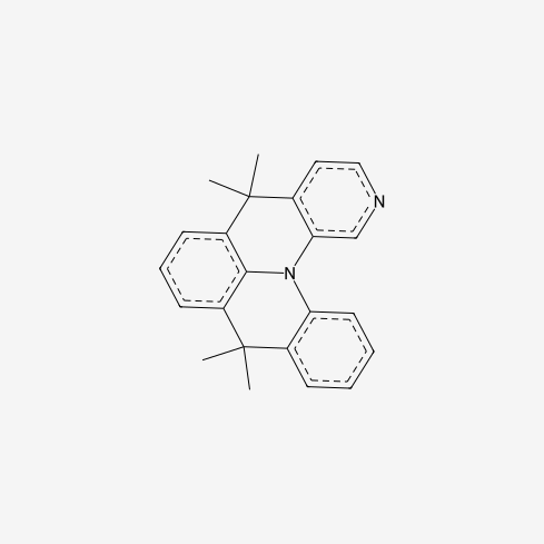 CC1(C)c2ccccc2N2c3cnccc3C(C)(C)c3cccc1c32